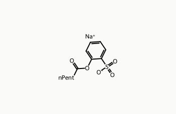 CCCCCC(=O)Oc1ccccc1S(=O)(=O)[O-].[Na+]